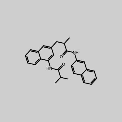 CC(C)C(=O)Nc1cc(CC(C)C(=O)Nc2ccc3ccccc3c2)cc2ccccc12